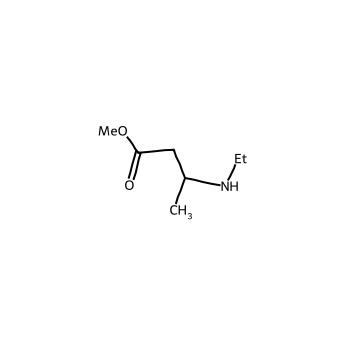 CCNC(C)CC(=O)OC